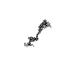 CN1CCC[C@@H]1c1cc2cnc(NC(=O)c3ccc(OCCCC#Cc4cccc5c4CN(C4CCC(=O)N(COCC[Si](C)(C)C)C4=O)C5=O)cc3F)cc2n1C(=O)OC(C)(C)C